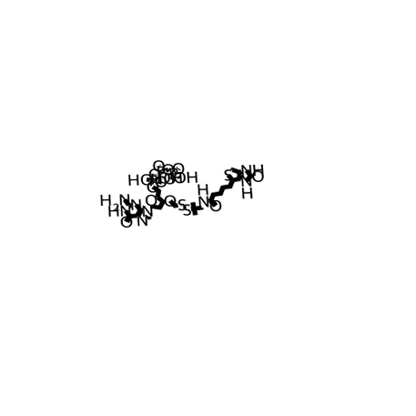 CC(C)(CNC(=O)CCCCC1SCC2NC(=O)NC21)SSCO[C@@H]1C[C@H](n2cnc3c(=O)[nH]c(N)nc32)OC1COP(=O)(O)OP(=O)(O)OP(=O)(O)O